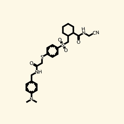 CN(C)c1ccc(CNC(=O)CSc2ccc(S(=O)(=O)CC3CCCCC3C(=O)NCC#N)cc2)cc1